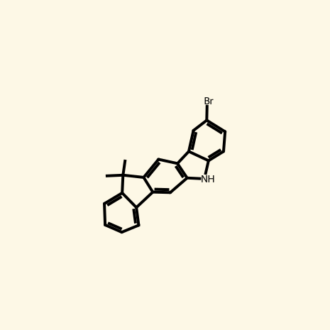 CC1(C)c2ccccc2-c2cc3[nH]c4ccc(Br)cc4c3cc21